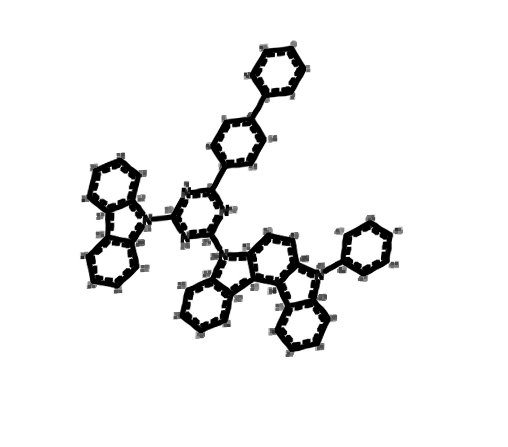 c1ccc(-c2ccc(-c3nc(-n4c5ccccc5c5ccccc54)nc(-n4c5ccccc5c5c6c7ccccc7n(-c7ccccc7)c6ccc54)n3)cc2)cc1